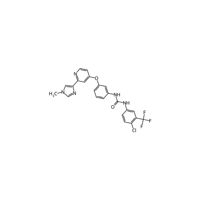 Cn1cnc(-c2cc(Oc3cccc(NC(=O)Nc4ccc(Cl)c(C(F)(F)F)c4)c3)ccn2)c1